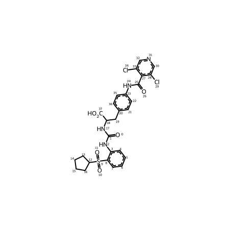 O=C(Nc1ccccc1S(=O)(=O)C1CCCC1)NC(Cc1ccc(NC(=O)c2c(Cl)cncc2Cl)cc1)C(=O)O